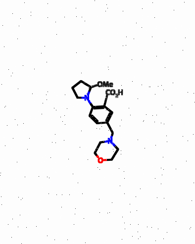 COC1CCCN1c1ccc(CN2CCOCC2)cc1C(=O)O